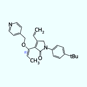 C=CC1=C(/C(=C\C)OCc2ccncc2)C(=O)N(c2ccc(C(C)(C)C)cc2)C1